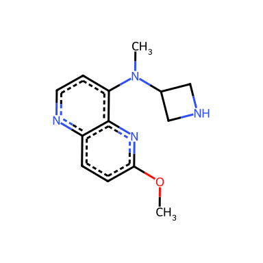 COc1ccc2nccc(N(C)C3CNC3)c2n1